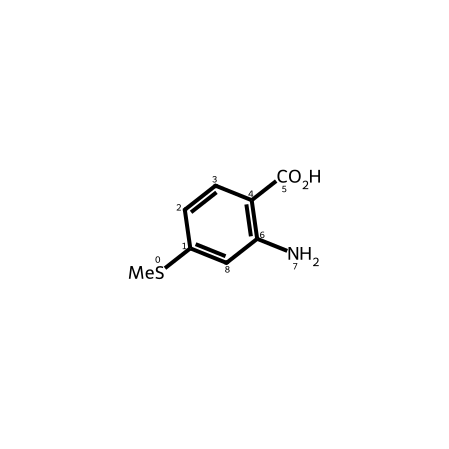 CSc1ccc(C(=O)O)c(N)c1